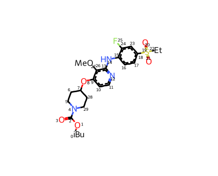 CCC(C)OC(=O)N1CCC(Oc2ccnc(Nc3ccc(S(=O)(=O)CC)cc3F)c2OC)CC1